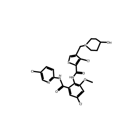 COc1cc(Cl)cc(C(=O)Nc2ccc(Cl)cn2)c1NC(=O)c1scc(CN2CCC(O)CC2)c1Cl